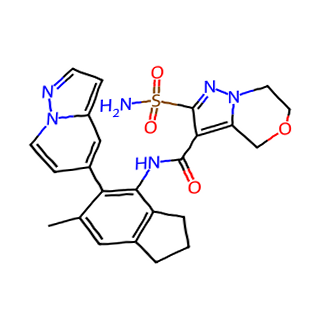 Cc1cc2c(c(NC(=O)c3c(S(N)(=O)=O)nn4c3COCC4)c1-c1ccn3nccc3c1)CCC2